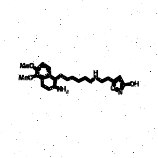 COc1ccc2c(c1OC)CCC(N)C2CCCCCCNCCc1cc(O)no1